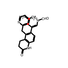 CC(C)=C/C(=C\N(C)C=O)c1ccc2c(c1Cc1ccccn1)CCC(=O)N2